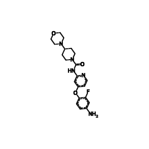 Nc1ccc(Oc2ccnc(NC(=O)N3CCC(N4CCOCC4)CC3)c2)c(F)c1